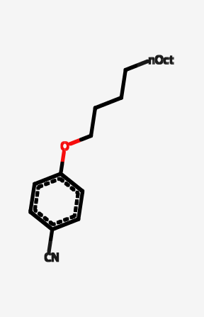 CCCCCCCCCCCCOc1ccc(C#N)cc1